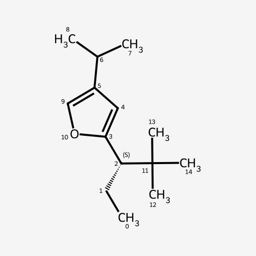 CC[C@H](c1cc(C(C)C)co1)C(C)(C)C